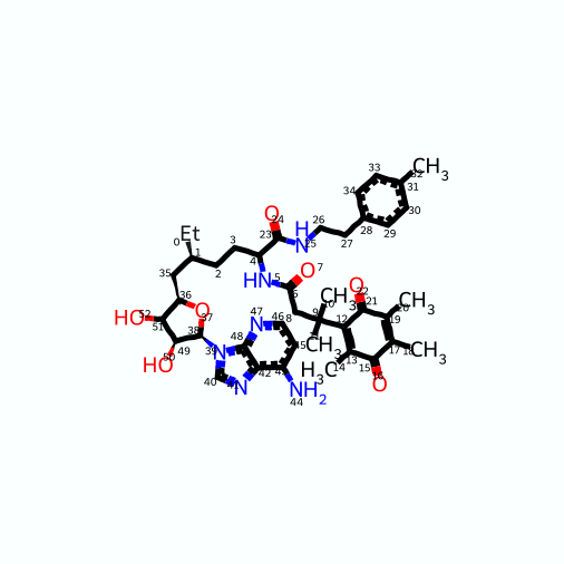 CC[C@@H](CCC(NC(=O)CC(C)(C)C1=C(C)C(=O)C(C)=C(C)C1=O)C(=O)NCCc1ccc(C)cc1)C[C@H]1O[C@@H](n2cnc3c(N)ccnc32)[C@@H](O)C1O